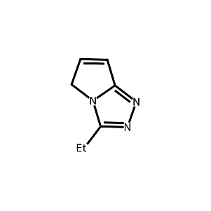 CCc1nnc2n1CC=C2